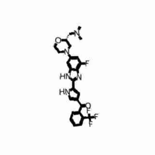 CN(C)C[C@@H]1CN(c2cc(F)c3nc(-c4cc(C(=O)c5ccccc5C(F)(F)F)c[nH]4)[nH]c3c2)CCO1